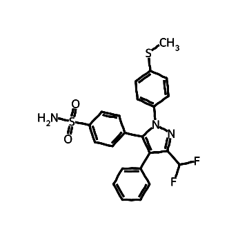 CSc1ccc(-n2nc(C(F)F)c(-c3ccccc3)c2-c2ccc(S(N)(=O)=O)cc2)cc1